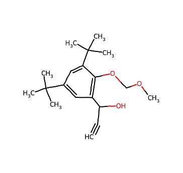 C#CC(O)c1cc(C(C)(C)C)cc(C(C)(C)C)c1OCOC